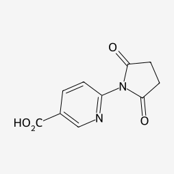 O=C(O)c1ccc(N2C(=O)CCC2=O)nc1